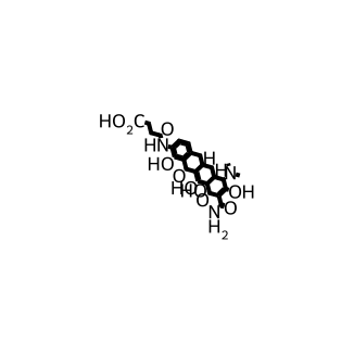 CN(C)[C@H]1C(O)=C(C(N)=O)C(=O)[C@@]2(O)C(O)=C3C(=O)c4c(ccc(NC(=O)CCC(=O)O)c4O)C[C@H]3C[C@@H]12